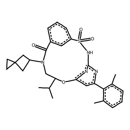 Cc1cccc(C)c1-c1cc2nc(n1)NS(=O)(=O)c1cccc(c1)C(=O)N(C1CC3(CC3)C1)CC(C(C)C)O2